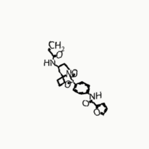 C=CC(=O)NC1CCN(S(=O)(=O)c2ccc(NC(=O)c3ccco3)cc2)C2(CCC2)C1